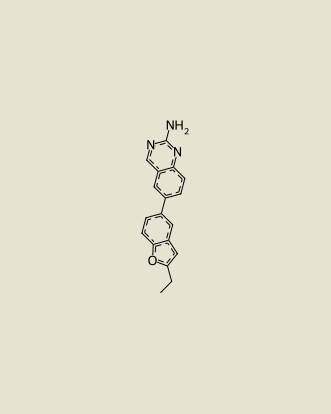 CCc1cc2cc(-c3ccc4nc(N)ncc4c3)ccc2o1